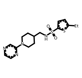 CCc1ccc(S(=O)(=O)NCC2CCN(c3cnccn3)CC2)s1